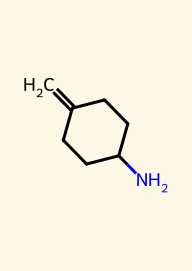 C=C1CCC(N)CC1